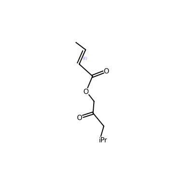 C/C=C/C(=O)OCC(=O)CC(C)C